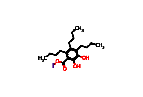 CCCCc1c(O)c(O)c(C(=O)OI)c(CCCC)c1CCCC